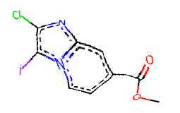 COC(=O)c1ccn2c(I)c(Cl)nc2c1